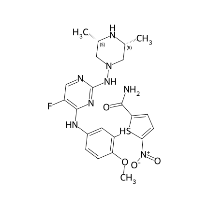 COc1ccc(Nc2nc(NN3C[C@@H](C)N[C@@H](C)C3)ncc2F)cc1[SH]1C(C(N)=O)=CC=C1[N+](=O)[O-]